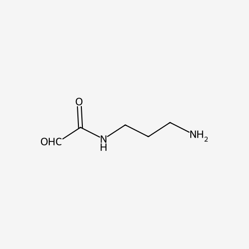 NCCCNC(=O)C=O